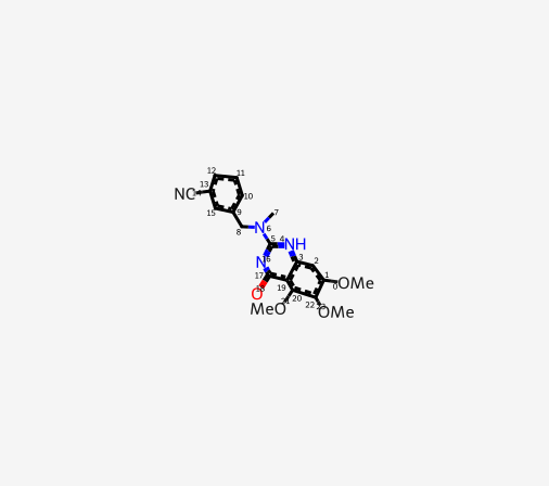 COc1cc2[nH]c(N(C)Cc3cccc(C#N)c3)nc(=O)c2c(OC)c1OC